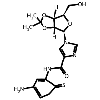 CC1(C)O[C@@H]2[C@H](O1)[C@@H](CO)O[C@H]2n1cnc(C(=O)NC2=CC(N)=CCC2=S)c1